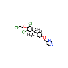 CC(C)(c1ccc(OCc2ccncn2)cc1)c1cc(Cl)c(OCCCl)c(Cl)c1